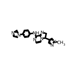 Cn1cc(C2CN=C3C(Nc4ccc(-n5ccnc5)cc4)=NC=CN32)cn1